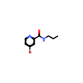 CCCNC(=O)c1cc(Br)ccn1